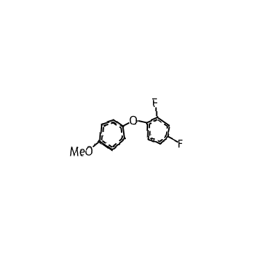 COc1ccc(Oc2ccc(F)cc2F)cc1